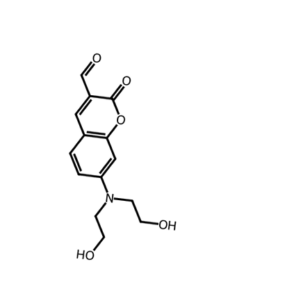 O=Cc1cc2ccc(N(CCO)CCO)cc2oc1=O